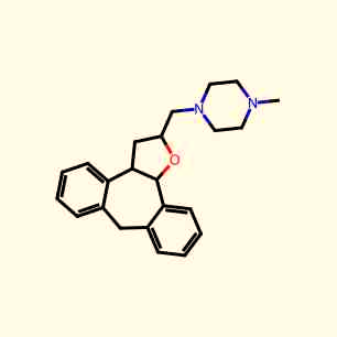 CN1CCN(CC2CC3c4ccccc4Cc4ccccc4C3O2)CC1